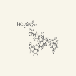 Cc1c(F)ccc2cccc(-c3ncc4c(N(C)[C@@H]5CCN(C(=O)/C=C/[C@H]6CCN6C(=O)O)C5)nc(OC[C@@]56CCCN5C[C@H](F)C6)nc4c3F)c12